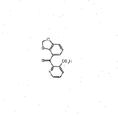 O=C(O)c1cccnc1C(=O)c1cccc2c1OCO2